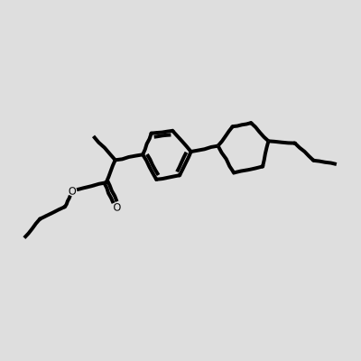 CCCOC(=O)C(C)c1ccc(C2CCC(CCC)CC2)cc1